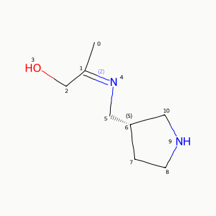 C/C(CO)=N/C[C@H]1CCNC1